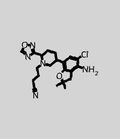 CC1(C)Cc2c(N)c(Cl)cc(C3CCC(c4ncon4)N(CCCC#N)C3)c2O1